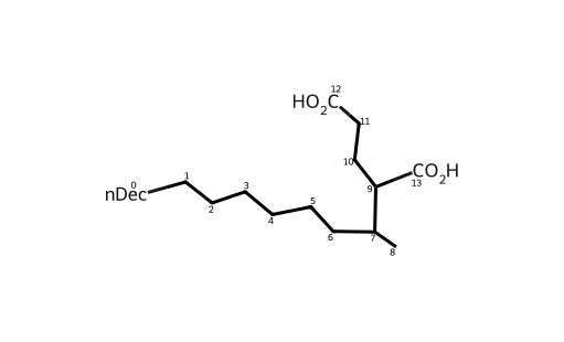 CCCCCCCCCCCCCCCCC(C)C(CCC(=O)O)C(=O)O